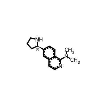 CN(C)c1nccc2cc([C@H]3CCCN3)ccc12